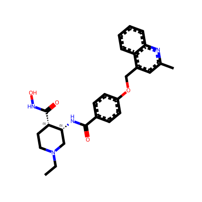 CCN1CC[C@H](C(=O)NO)[C@H](NC(=O)c2ccc(OCc3cc(C)nc4ccccc34)cc2)C1